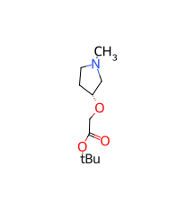 CN1CC[C@@H](OCC(=O)OC(C)(C)C)C1